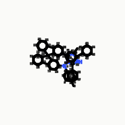 Cc1ccc(N(c2ccc(C)cc2)c2ccc3c(c2)C2(c4ccccc4-c4ccc(C5=NC(c6ccccc6)NC(c6ccccc6)=N5)cc42)c2ccccc2-3)cc1